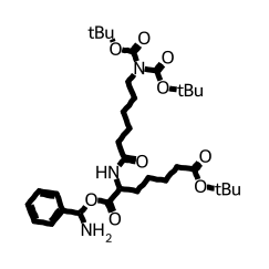 CC(C)(C)OC(=O)CCCCC(NC(=O)CCCCCN(C(=O)OC(C)(C)C)C(=O)OC(C)(C)C)C(=O)OC(N)c1ccccc1